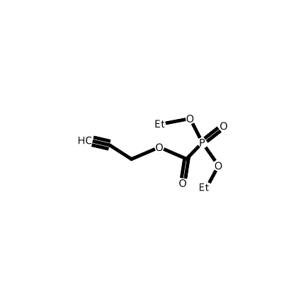 C#CCOC(=O)P(=O)(OCC)OCC